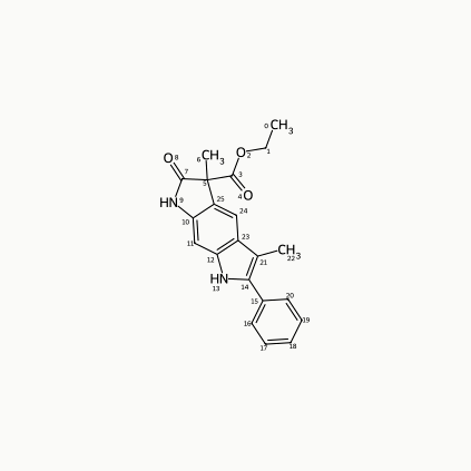 CCOC(=O)C1(C)C(=O)Nc2cc3[nH]c(-c4ccccc4)c(C)c3cc21